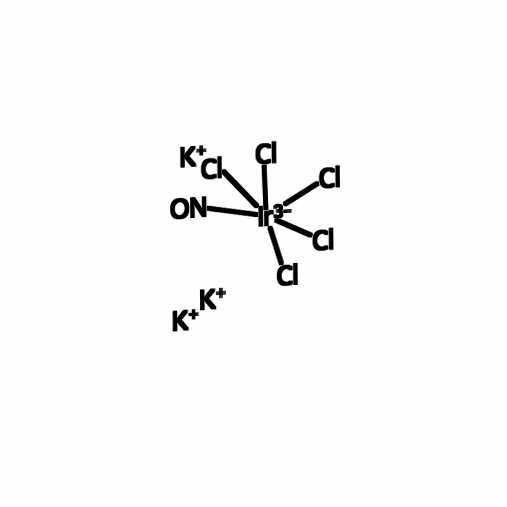 O=[N][Ir-3]([Cl])([Cl])([Cl])([Cl])[Cl].[K+].[K+].[K+]